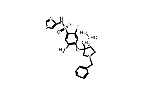 Cc1cc(S(=O)(=O)Nc2cscn2)c(F)cc1OC1(C)CCN(Cc2ccccc2)C1.O=CO